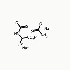 CCCC(NC([O-])=S)C(=O)O.NC([O-])=S.[Na+].[Na+]